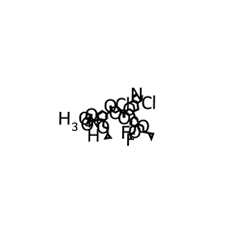 CS(=O)(=O)Nc1ccc(C(=O)OCC(=O)OC(Cc2c(Cl)cncc2Cl)c2ccc(OC(F)F)c(OCC3CC3)c2)cc1OCC1CC1